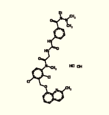 CCN(C(=O)c1cccc(NC(=O)NCC(=O)N(C)c2ccc(Cl)c(COc3cccc4ccc(C)nc34)c2Cl)c1)N(C)C.Cl.Cl